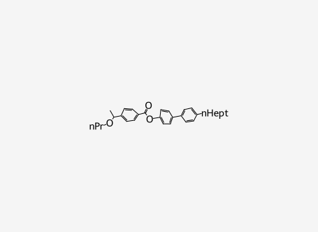 CCCCCCCc1ccc(-c2ccc(OC(=O)c3ccc(C(C)OCCC)cc3)cc2)cc1